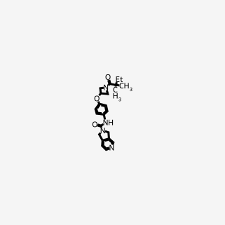 CCC(C)(C)C(=O)N1CC(Oc2ccc(NC(=O)N3Cc4ccncc4C3)cc2)C1